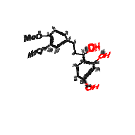 COc1ccc(CCC(O)c2ccc(O)cc2O)cc1OC